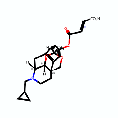 CC1(C)OC[C@]23CCN(CC4CC4)[C@H](Cc4ccc(OC(=O)/C=C/C(=O)O)cc42)[C@@H]3O1